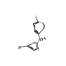 Brc1cnc(Nc2ccc(I)cc2)s1